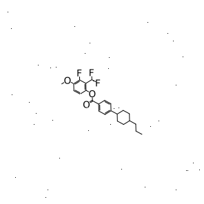 CCCC1CCC(c2ccc(C(=O)Oc3ccc(OC)c(F)c3C(F)F)cc2)CC1